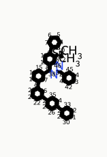 C[Si]1(C)c2ccccc2-c2ccc3c(-c4cccc(-c5cccc(-c6ccc(-c7ccccc7)cc6)c5)c4)nc(-c4ccccc4)nc3c21